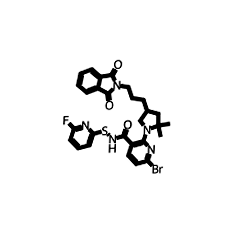 CC1(C)CC(CCCN2C(=O)c3ccccc3C2=O)CN1c1nc(Br)ccc1C(=O)NSc1cccc(F)n1